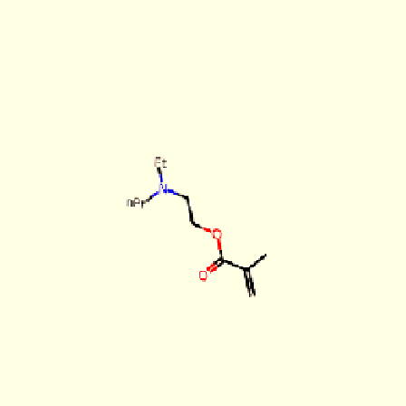 C=C(C)C(=O)OCCN(CC)CCC